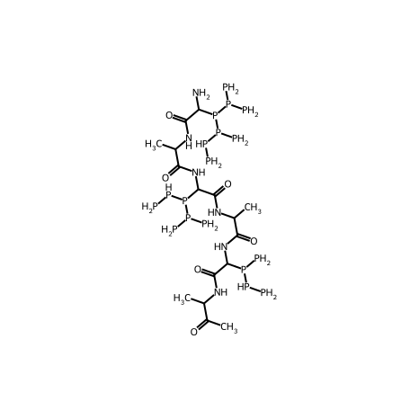 CC(=O)C(C)NC(=O)C(NC(=O)C(C)NC(=O)C(NC(=O)C(C)NC(=O)C(N)P(P(P)P)P(P)PP)P(PP)P(P)P)P(P)PP